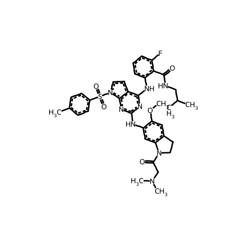 COc1cc2c(cc1Nc1nc(Nc3cccc(F)c3C(=O)NCC(C)C)c3ccn(S(=O)(=O)c4ccc(C)cc4)c3n1)N(C(=O)CN(C)C)CC2